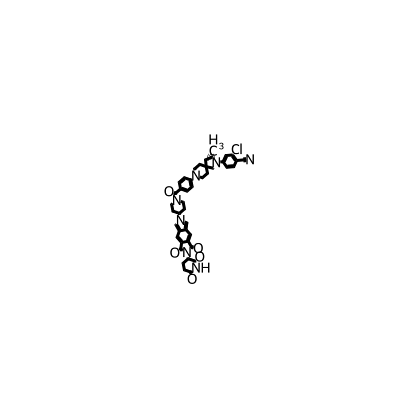 C[C@H]1CC2(CCN(c3ccc(C(=O)N4CCC(n5cc6cc7c(cc6c5)C(=O)N(C5CCC(=O)NC5=O)C7=O)CC4)cc3)CC2)CN1c1ccc(C#N)c(Cl)c1